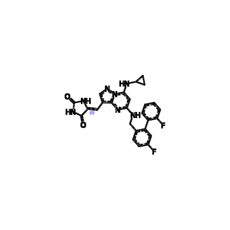 O=C1NC(=O)/C(=C/c2cnn3c(NC4CC4)cc(NCc4ccc(F)cc4-c4ccccc4F)nc23)N1